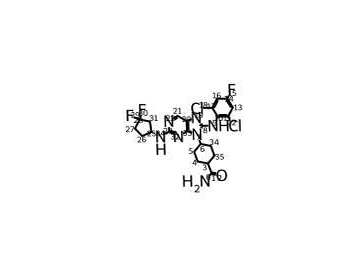 NC(=O)C1CCC(n2c(Nc3c(Cl)cc(F)cc3Cl)nc3cnc(N[C@@H]4CCC(F)(F)C4)nc32)CC1